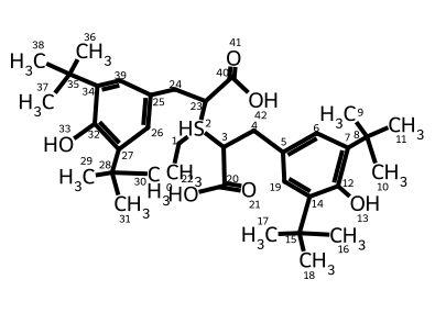 CC[SH](C(Cc1cc(C(C)(C)C)c(O)c(C(C)(C)C)c1)C(=O)O)C(Cc1cc(C(C)(C)C)c(O)c(C(C)(C)C)c1)C(=O)O